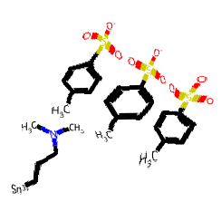 CN(C)CC[CH2][Sn+3].Cc1ccc(S(=O)(=O)[O-])cc1.Cc1ccc(S(=O)(=O)[O-])cc1.Cc1ccc(S(=O)(=O)[O-])cc1